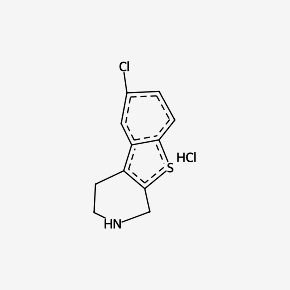 Cl.Clc1ccc2sc3c(c2c1)CCNC3